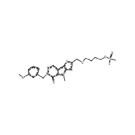 COc1cccc(Cn2ncc3c4sc(COCCCCOS(C)(=O)=O)nc4n(C)c3c2=O)c1